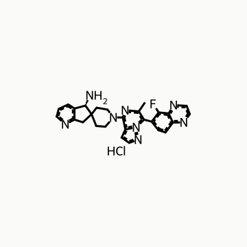 Cc1nc(N2CCC3(CC2)Cc2ncccc2[C@H]3N)c2ccnn2c1-c1ccc2nccnc2c1F.Cl